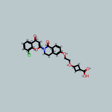 O=C(O)C1CC(OCCOc2ccc3c(c2)CCN(c2cc(=O)c4cccc(Cl)c4o2)C3=O)C1